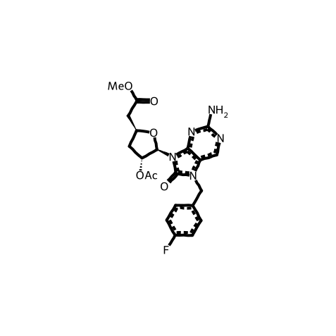 COC(=O)C[C@@H]1C[C@@H](OC(C)=O)[C@H](n2c(=O)n(Cc3ccc(F)cc3)c3cnc(N)nc32)O1